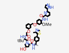 COc1cc(OCc2cccc(OCC(=O)N[C@H](C(=O)N3C[C@H](O)C[C@H]3C(=O)N[C@@H](C)c3ccc(-c4scnc4C)cc3)C(C)(C)C)c2)ccc1NC(=O)c1cccc(-c2ccn[nH]2)n1